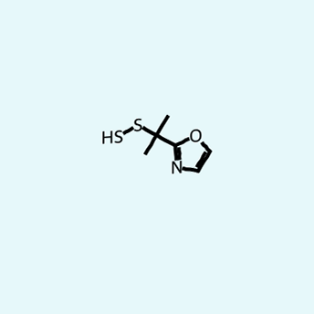 CC(C)(SS)c1ncco1